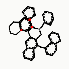 c1ccc(P(Cc2c(CPc3ccccc3C3CCCCC3)cc3ccccc3c2-c2cccc3ccccc23)c2ccccc2)cc1